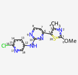 COc1nc(C)c(-c2ccnc(Nc3ccc(Cl)nc3)n2)s1